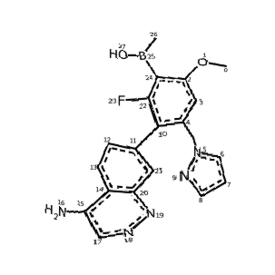 COc1cc(-n2cccn2)c(-c2ccc3c(N)cnnc3c2)c(F)c1B(C)O